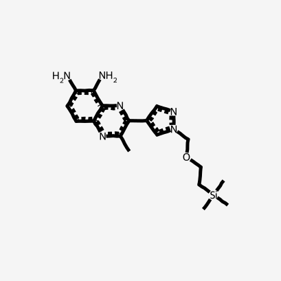 Cc1nc2ccc(N)c(N)c2nc1-c1cnn(COCC[Si](C)(C)C)c1